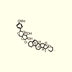 COc1ccc(C2OCC3O[C@@H](O[C@H]4CC[C@@]5(C)C(=CC[C@H]6[C@@H]7C[C@@H]8O[C@]9(CC[C@@H](C)CO9)[C@@H](C)[C@@H]8[C@@]7(C)CC[C@@H]65)C4)[C@@H](O)C(O)[C@@H]3O2)cc1